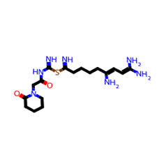 N=C(CCCC/C(N)=C/C=C(N)N)SC(=N)NC(=O)CN1CCCCC1=O